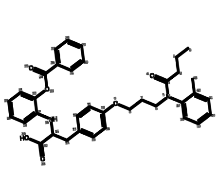 CCCC(=O)N(CCCOc1ccc(CC(Nc2ccccc2OC(=O)c2ccccc2)C(=O)O)cc1)c1ccccc1C